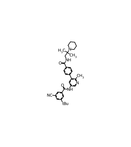 Cc1ncc(NC(=O)c2cc(C#N)cc(C(C)(C)C)c2)cc1-c1ccc(C(=O)NCC(C)(C)N2CCCCC2)cc1